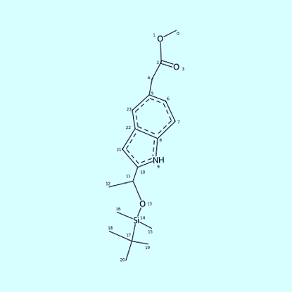 COC(=O)Cc1ccc2[nH]c(C(C)O[Si](C)(C)C(C)(C)C)cc2c1